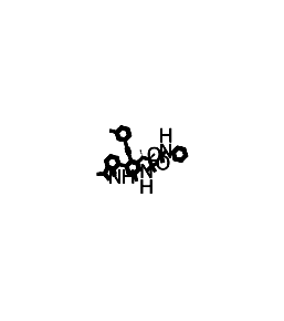 Cc1cccc(C#Cc2c(-c3cccc4c(C)c[nH]c34)cc(C)c3c2[C@H](C)[C@@H](OC(=O)Nc2ccccc2)C(C)(C)N3)c1